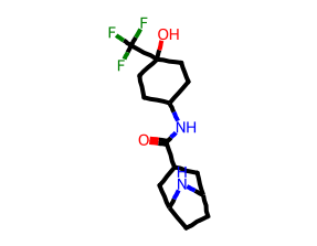 O=C(NC1CCC(O)(C(F)(F)F)CC1)C1CC2CCC(C1)N2